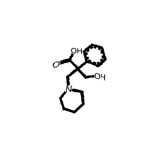 O=C(O)C(CO)(CN1CCCCC1)c1ccccc1